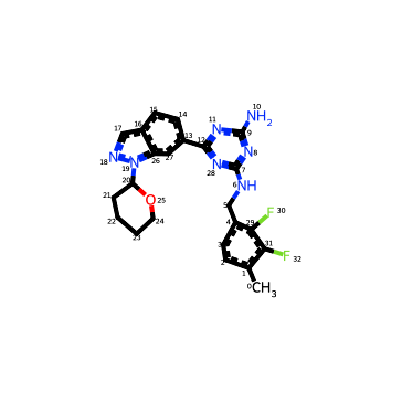 Cc1ccc(CNc2nc(N)nc(-c3ccc4cnn(C5CCCCO5)c4c3)n2)c(F)c1F